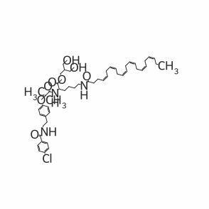 CC/C=C\C/C=C\C/C=C\C/C=C\C/C=C\C/C=C\CCC(=O)NCCCCC(NC(=O)C(C)(C)Oc1ccc(CCNC(=O)c2ccc(Cl)cc2)cc1)C(=O)OCC(CO)CO